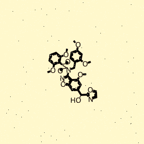 COc1ccc(CN(c2noc3cc([C@@H](O)c4ncco4)cc(OC)c23)S(=O)(=O)c2c(OC)cccc2OC)c(OC)c1